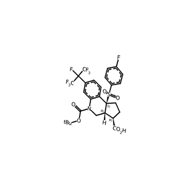 CC(C)(C)OC(=O)N1C[C@H]2[C@H](C(=O)O)CC[C@@]2(S(=O)(=O)c2ccc(F)cc2)c2ccc(C(F)(C(F)(F)F)C(F)(F)F)cc21